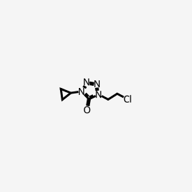 O=c1n(CCCl)nnn1C1CC1